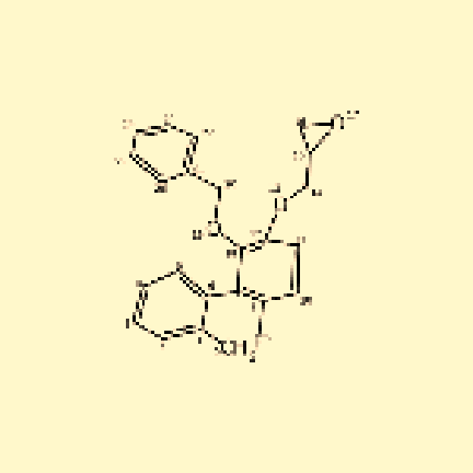 Cc1ccccc1-c1c(F)ccc(OC[C@H]2CO2)c1OCc1ccccc1